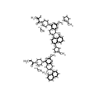 C=CC(=O)N1CCN(c2nc(OC[C@@H]3CC(c4ccc(N5CCc6c(nc(OC[C@@H]7CCCN7C)nc6N6CCN(C(=O)C(=C)F)[C@@H](CC#N)C6)C5)c5c(Cl)cccc45)CN3C)nc3c2CCN(c2cccc4cccc(C)c24)C3)C[C@@H]1CC#N